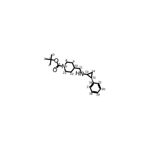 CC(C)(C)OC(=O)N1CCC(CNC2C[C@H]2c2ccccc2)CC1